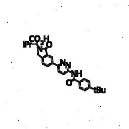 CC(C)C(C(=O)O)N1Cc2ccc(-c3ccc(NC(=O)c4ccc(C(C)(C)C)cc4)nn3)cc2C1=O